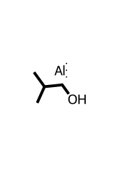 CC(C)CO.[Al]